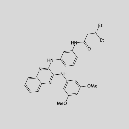 CCN(CC)CC(=O)Nc1cccc(Nc2nc3ccccc3nc2Nc2cc(OC)cc(OC)c2)c1